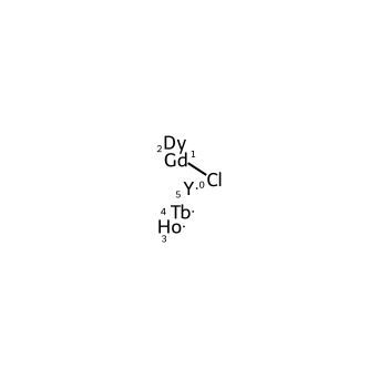 [Cl][Gd].[Dy].[Ho].[Tb].[Y]